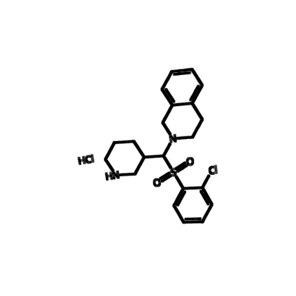 Cl.O=S(=O)(c1ccccc1Cl)C(C1CCCNC1)N1CCc2ccccc2C1